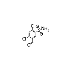 NS(=O)(=O)c1cc([C]=O)c(Cl)cc1Cl